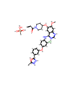 C=CC(=O)N1CCC(Oc2cc3c(Nc4ccc(Oc5cccc(-c6nnc(C)o6)c5)cc4Cl)ncnc3cc2OC)CC1.CS(=O)(=O)O